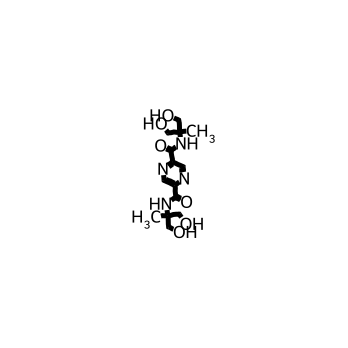 CC(CO)(CO)NC(=O)c1cnc(C(=O)NC(C)(CO)CO)cn1